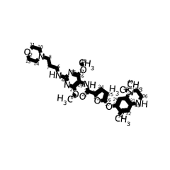 COc1nc(NCCCN2CCOCC2)nc(OC)c1NC(=O)c1ccc(Oc2cc3c(cc2C)NCC[Si]3(C)C)o1